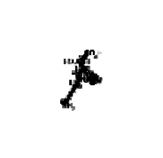 CC[C@H](C(=O)N[C@H](CCN1C(=O)c2cccc3c(N(C)C)ccc(c23)C1=O)C(=O)NCC[C@@H](NC(=O)CCCC(=O)O)C(=O)O)C1N2C(CNC(=O)CCCCCCCCCCC(N)=O)N12